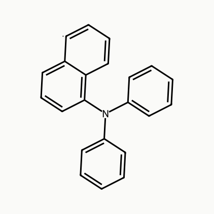 [c]1cccc2c(N(c3ccccc3)c3ccccc3)cccc12